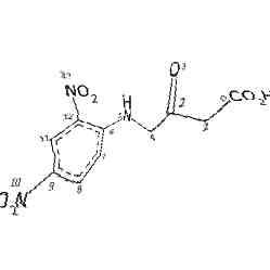 O=C(O)CC(=O)CNc1ccc([N+](=O)[O-])cc1[N+](=O)[O-]